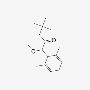 COC(C(=O)CC(C)(C)C)C1C(C)=CCC=C1C